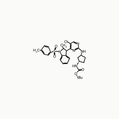 Cc1ccc(S(=O)(=O)N2c3ccccc3C(c3nc(N[C@H]4CC[C@@H](NC(=O)OC(C)(C)C)C4)ncc3Cl)C2C)cc1